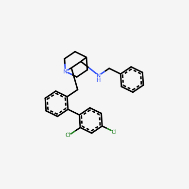 Clc1ccc(-c2ccccc2CC2C(NCc3ccccc3)C3CCN2CC3)c(Cl)c1